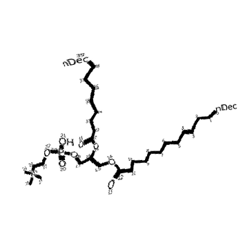 CCCCCCCCCCCCCCCCCCCCCC(=O)OCC(COP(=O)(O)OCC[N+](C)(C)C)OC(=O)CCCCCCCCCCCCCCCCC